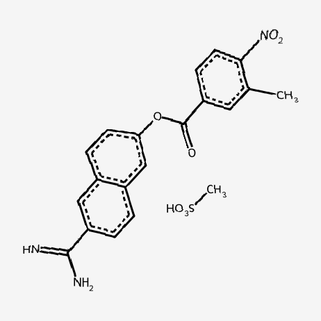 CS(=O)(=O)O.Cc1cc(C(=O)Oc2ccc3cc(C(=N)N)ccc3c2)ccc1[N+](=O)[O-]